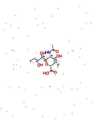 CC(=O)N[C@@H]1[C@@H](O)[C@H](F)C(C(=O)O)O[C@H]1[C@H](O)[C@H](O)CI